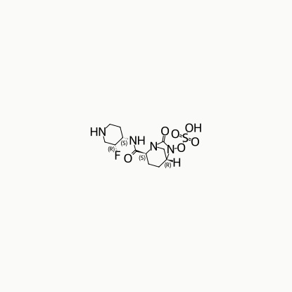 O=C(N[C@H]1CCNC[C@H]1F)[C@@H]1CC[C@@H]2CN1C(=O)N2OS(=O)(=O)O